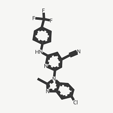 Cc1nc2cc(Cl)ccc2n1-c1cc(C#N)cc(Nc2ccc(C(F)(F)F)cc2)n1